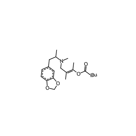 CCC(C)C(=O)O/C(C)=C(\C)CN(C)C(C)Cc1ccc2c(c1)OCO2